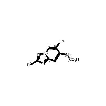 O=C(O)Nc1cc2nc(Br)nn2cc1F